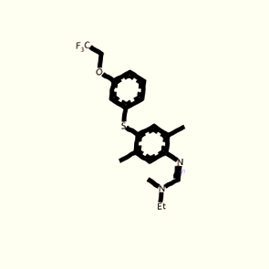 CCN(C)/C=N\c1cc(C)c(Sc2cccc(OCC(F)(F)F)c2)cc1C